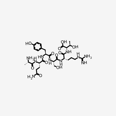 C[C@H](N)C(=O)N[C@@H](CCC(N)=O)C(=O)N[C@@H](Cc1ccc(O)cc1)C(=O)N[C@@H](CO)C(=O)N[C@@H](CCCNC(=N)N)C(=O)N[C@H](C(=O)O)[C@@H](C)O